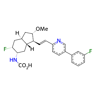 CO[C@H]1C[C@@H]2C[C@@H](F)[C@@H](NC(=O)O)C[C@H]2[C@@H]1/C=C/c1ccc(-c2cccc(F)c2)cn1